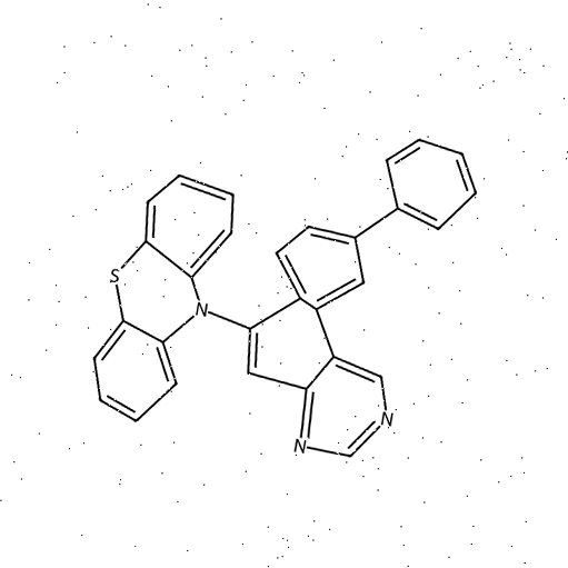 c1ccc(-c2ccc3c(N4c5ccccc5Sc5ccccc54)cc4ncncc4c3c2)cc1